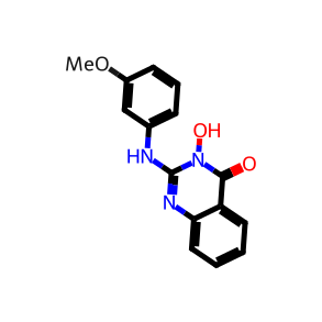 COc1cccc(Nc2nc3ccccc3c(=O)n2O)c1